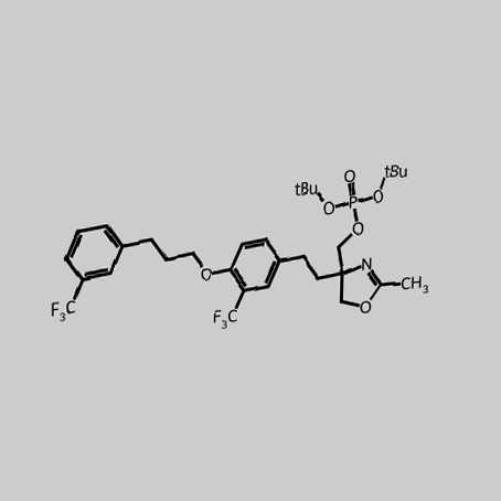 CC1=NC(CCc2ccc(OCCCc3cccc(C(F)(F)F)c3)c(C(F)(F)F)c2)(COP(=O)(OC(C)(C)C)OC(C)(C)C)CO1